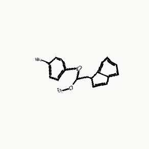 CCOC(Oc1ccc(C(C)CC)cc1)C1C=Cc2ccccc21